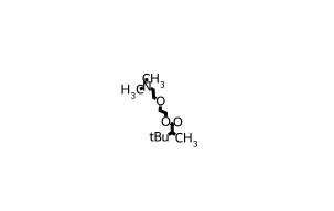 CC(C(=O)OCCOCCN(C)C)C(C)(C)C